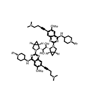 COc1cc2c(NC3CCN(C(C)C)CC3)nc(N3C[C@@H]4C[C@@H]4[C@@H]3C(O)C(O)[C@H]3[C@H]4C[C@H]4CN3c3nc(NC4CCN(C(C)C)CC4)c4cc(OC)c(C#CCCN(C)C)cc4n3)nc2cc1C#CCCN(C)C